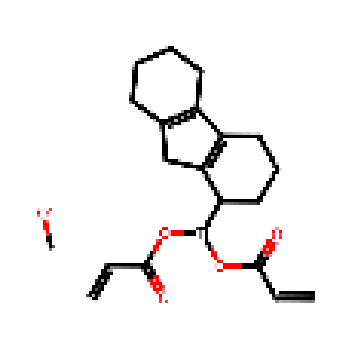 C=CC(=O)[O][Ti+]([O]C(=O)C=C)[CH]1CCCC2=C1CC1=C2CCCC1.C[O-]